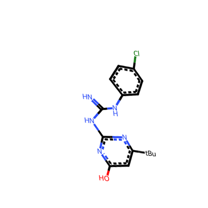 CC(C)(C)c1cc(O)nc(NC(=N)Nc2ccc(Cl)cc2)n1